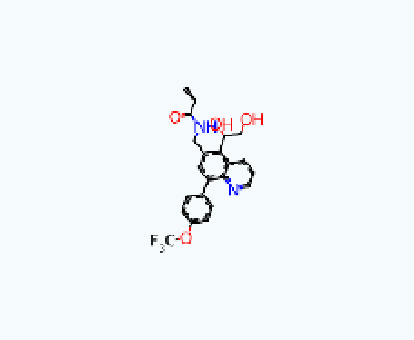 C=CC(=O)NCc1cc(-c2ccc(OC(F)(F)F)cc2)c2ncccc2c1[C@@H](O)CO